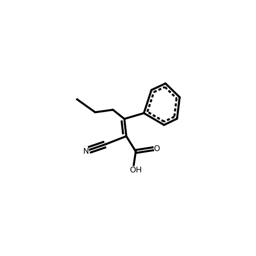 CCCC(=C(C#N)C(=O)O)c1ccccc1